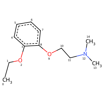 CCOc1ccccc1OCCN(C)C